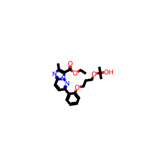 CCOC(=O)c1c(C)nc2ccc(-c3ccccc3OCCCOC(C)(C)O)nn12